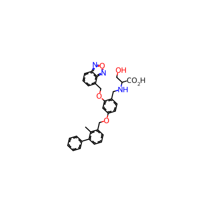 Cc1c(COc2ccc(CNC(CO)C(=O)O)c(OCc3cccc4nonc34)c2)cccc1-c1ccccc1